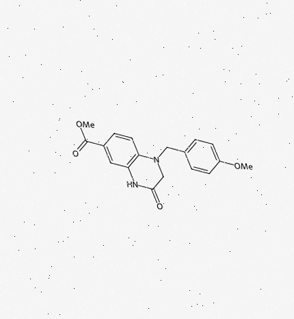 COC(=O)c1ccc2c(c1)NC(=O)CN2Cc1ccc(OC)cc1